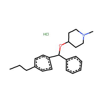 CCCc1ccc(C(OC2CCN(C)CC2)c2ccccc2)cc1.Cl